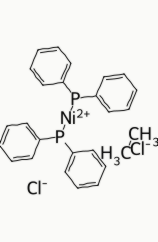 CC.[Cl-].[Cl-].c1ccc([P]([Ni+2][P](c2ccccc2)c2ccccc2)c2ccccc2)cc1